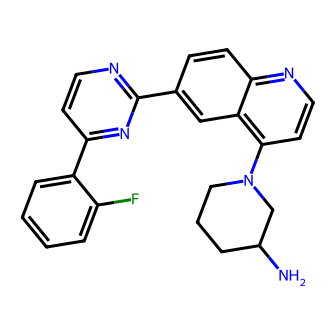 NC1CCCN(c2ccnc3ccc(-c4nccc(-c5ccccc5F)n4)cc23)C1